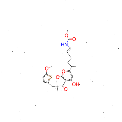 COC(=O)N/C=C/CCC(C)c1cc(O)c(C(=O)C(C)(C)Cc2ccc(OC)s2)c(=O)o1